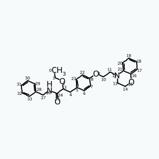 CCOC(Cc1ccc(OCCN2CCOc3ccccc32)cc1)C(=O)NCc1ccccc1